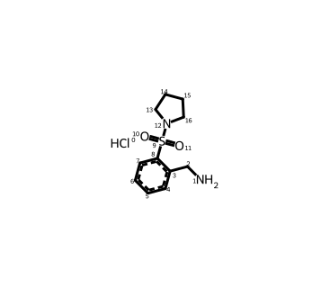 Cl.NCc1ccccc1S(=O)(=O)N1CCCC1